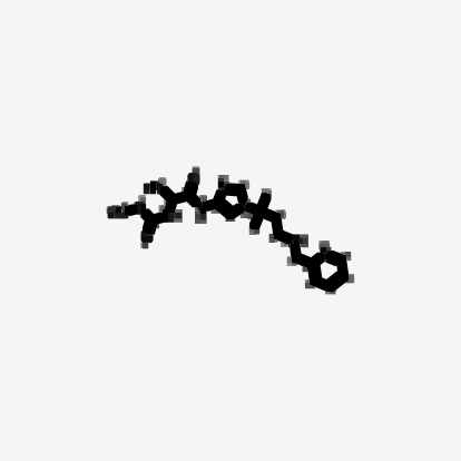 CCCC(NC(=O)OC(C)(C)C)C(=O)Nc1cn(C(C)(C)CCNCc2ccccn2)cn1